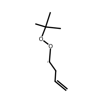 C=CC[C]OOC(C)(C)C